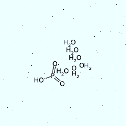 O.O.O.O.O.O.O=P(=O)O